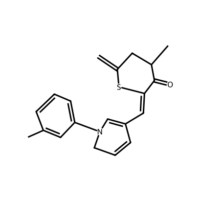 C=C1CC(C)C(=O)/C(=C/C2=CN(c3cccc(C)c3)CC=C2)S1